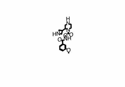 COc1cccc(C(=O)NOC(=O)N2CCNCC2C2CNC2)c1